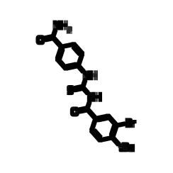 CC(C)(C)c1ccc(C(=O)NC(=S)Nc2ccc(C(N)=O)cc2)cc1Br